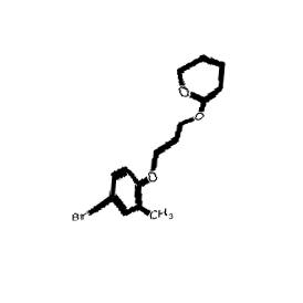 Cc1cc(Br)ccc1OCCCOC1CCCCO1